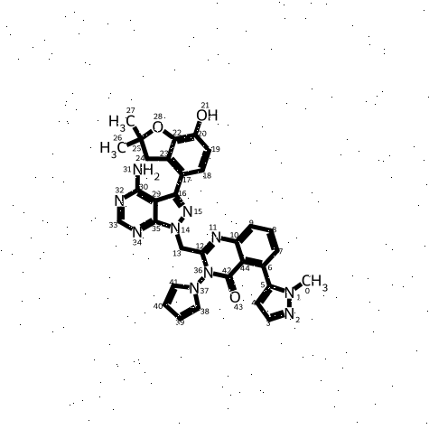 Cn1nccc1-c1cccc2nc(Cn3nc(-c4ccc(O)c5c4CC(C)(C)O5)c4c(N)ncnc43)n(-n3cccc3)c(=O)c12